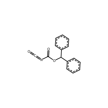 O=C=NC(=O)OC(c1ccccc1)c1ccccc1